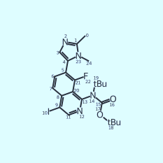 Cc1ncc(-c2ccc3c(I)cnc(N(C(=O)OC(C)(C)C)C(C)(C)C)c3c2F)n1C